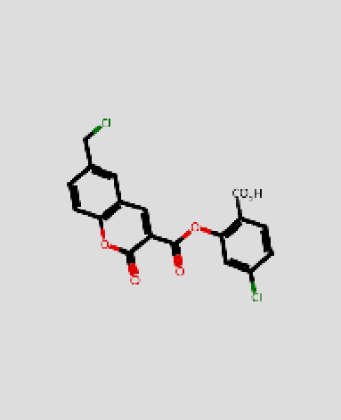 O=C(O)c1ccc(Cl)cc1OC(=O)c1cc2cc(CCl)ccc2oc1=O